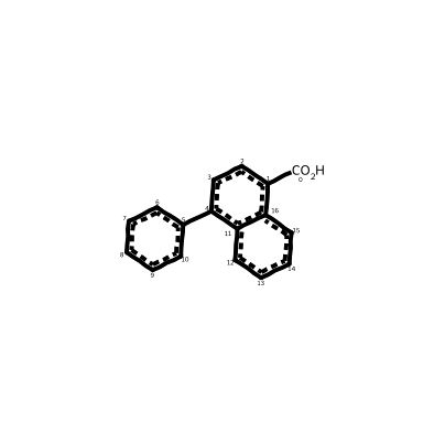 O=C(O)c1ccc(-c2ccccc2)c2ccccc12